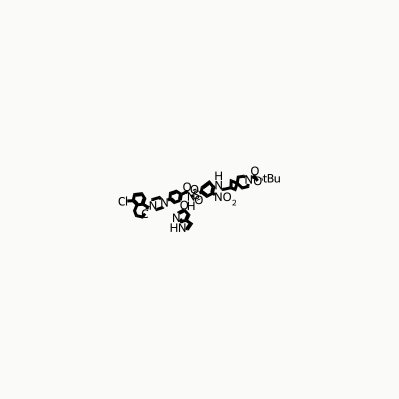 CC(C)(C)OC(=O)N1CCC2(CC1)CC(CNc1ccc(S(=O)(=O)NC(=O)c3ccc(N4CCN([C@@H]5CCCCc6c(Cl)cccc65)CC4)cc3Oc3cnc4[nH]ccc4c3)cc1[N+](=O)[O-])C2